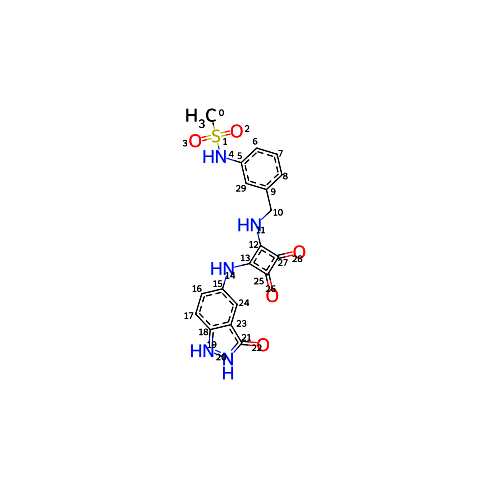 CS(=O)(=O)Nc1cccc(CNc2c(Nc3ccc4[nH][nH]c(=O)c4c3)c(=O)c2=O)c1